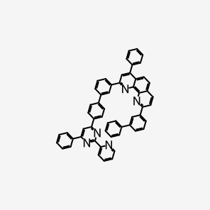 c1ccc(-c2cccc(-c3ccc4ccc5c(-c6ccccc6)cc(-c6cccc(-c7ccc(-c8cc(-c9ccccc9)nc(-c9ccccn9)n8)cc7)c6)nc5c4n3)c2)cc1